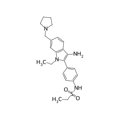 CCn1c(-c2ccc(NS(=O)(=O)CC)cc2)c(N)c2ccc(CN3CCCC3)cc21